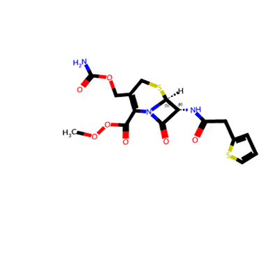 COOC(=O)C1=C(COC(N)=O)CS[C@H]2[C@H](NC(=O)Cc3cccs3)C(=O)N12